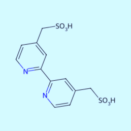 O=S(=O)(O)Cc1ccnc(-c2cc(CS(=O)(=O)O)ccn2)c1